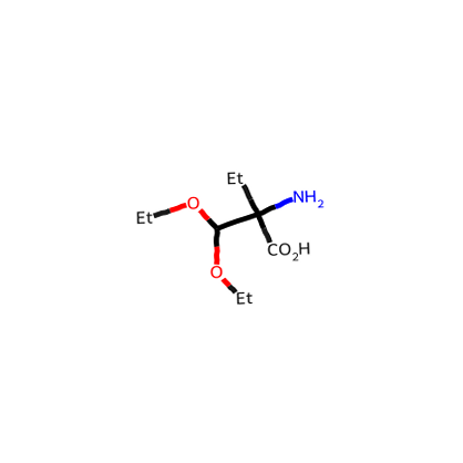 CCOC(OCC)C(N)(CC)C(=O)O